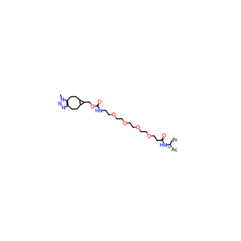 CC(=O)[C@@H](NC(=O)CCOCCOCCOCCOCCNC(=O)OCC1C2CCc3nnn(C)c3CCC21)C(C)C